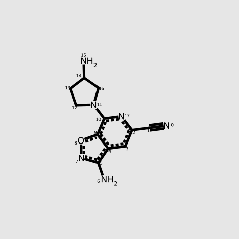 N#Cc1cc2c(N)noc2c(N2CCC(N)C2)n1